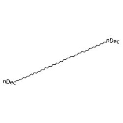 CCCCCCCCCCCCCCCCCCCCCCCCCCCCCCCCCCCCCCCCCCCCCCCCCCCCCCCCCCCCCCCCCCCCCC